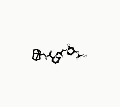 O=C(O)Oc1ccn(Cc2cn3c(C(=O)NCC45CC6CC(CC(C6)C4)C5)cccc3n2)c(=O)c1